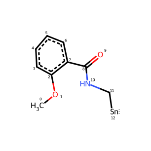 COc1ccccc1C(=O)N[CH2][Sn]